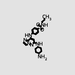 CCCNS(=O)(=O)c1ccc(Nc2cc(N[C@H]3CC[C@H](N)CC3)nn3ccnc23)cc1